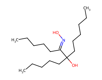 CCCCCCC(O)(CCCCC)C(CCCCC)=NO